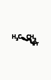 [CH2]C(C)CCC(C)CC#CC